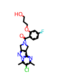 Cc1nc2c3c(nn2c(C)c1Cl)CN(C(=O)c1ccc(F)cc1OCCCO)C3